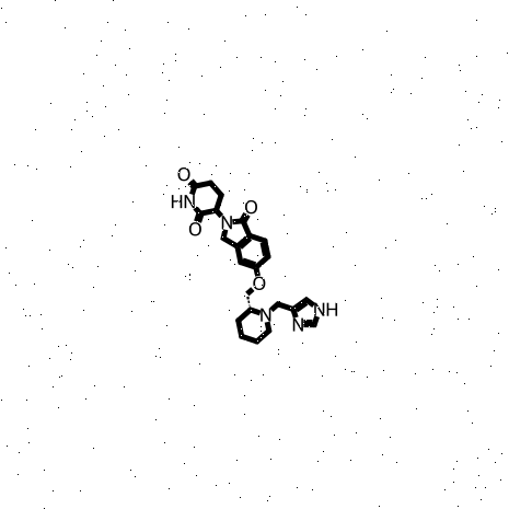 O=C1CCC(N2Cc3cc(OC[C@H]4CCCCN4Cc4c[nH]cn4)ccc3C2=O)C(=O)N1